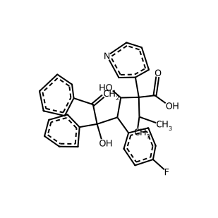 C=C(c1ccccc1)C(O)(c1ccccc1)C(c1ccc(F)cc1)C(O)C(C(=O)O)(c1cccnc1)C(C)C